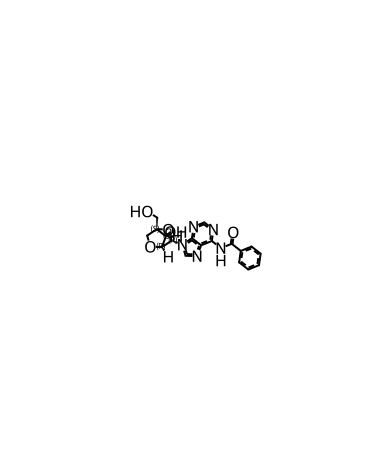 [2H][C@]1(O)[C@H]2OC[C@]1(CO)O[C@H]2n1cnc2c(NC(=O)c3ccccc3)ncnc21